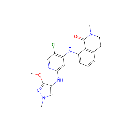 COc1nn(C)cc1Nc1cc(Nc2cccc3c2C(=O)N(C)CC3)c(Cl)cn1